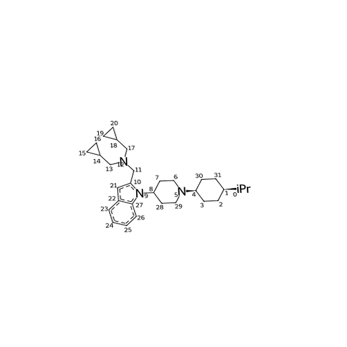 CC(C)[C@H]1CC[C@@H](N2CCC(n3c(CN(CC4CC4)CC4CC4)cc4ccccc43)CC2)CC1